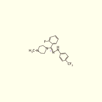 CN1CCN(/C(=N/Nc2ccc(C(F)(F)F)cc2)c2ccccc2F)CC1